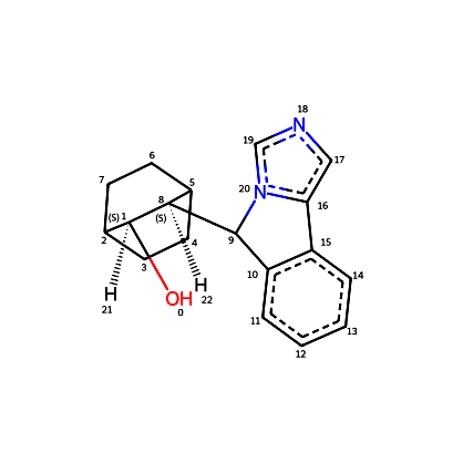 O[C@H]1C2CCC(CC2)[C@H]1C1c2ccccc2-c2cncn21